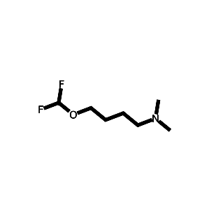 CN(C)CCCCO[C](F)F